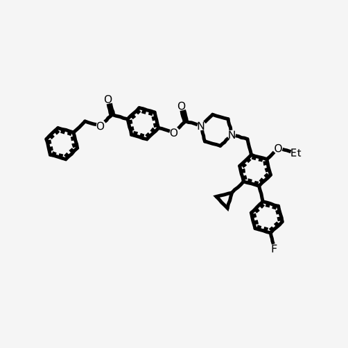 CCOc1cc(-c2ccc(F)cc2)c(C2CC2)cc1CN1CCN(C(=O)Oc2ccc(C(=O)OCc3ccccc3)cc2)CC1